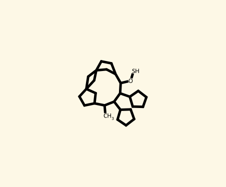 CC1C2CCC3(C2)CC2(CCC(C2)C(OS)C(C2CCCC2)C1C1CCCC1)C3